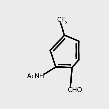 [CH2]C(=O)Nc1cc(C(F)(F)F)ccc1C=O